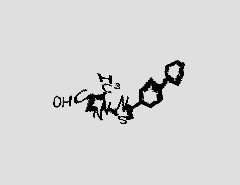 Cc1c(C=O)cnn1-c1nc(-c2ccc(-c3ccccc3)cc2)cs1